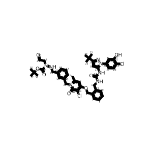 Cc1cc(OCc2ccccc2CNC(=O)Nc2cc(C(C)(C)C)nn2-c2ccc(Cl)c(O)c2)c(Cl)c(=O)n1Cc1cccc(CNN(CC=O)C(=O)OC(C)(C)C)c1